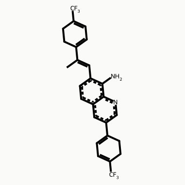 C/C(=C\c1ccc2cc(C3=CC=C(C(F)(F)F)CC3)cnc2c1N)C1=CC=C(C(F)(F)F)CC1